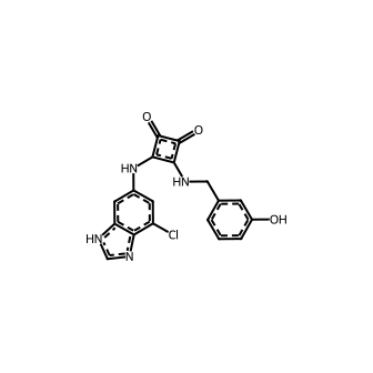 O=c1c(NCc2cccc(O)c2)c(Nc2cc(Cl)c3nc[nH]c3c2)c1=O